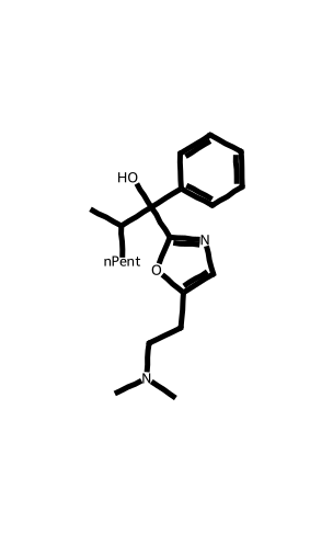 CCCCCC(C)C(O)(c1ccccc1)c1ncc(CCN(C)C)o1